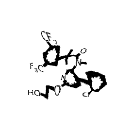 CN(C(=O)C(C)(C)c1cc(C(F)(F)F)cc(C(F)(F)F)c1)c1cnc(OCCO)cc1-c1ccccc1Cl